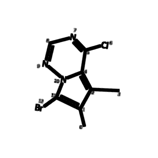 Cc1c(C)c2c(Cl)ncnn2c1Br